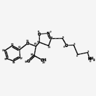 NCCCOCC1=NOC(C(Oc2ccccc2)C(=O)O)C1